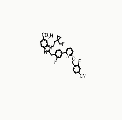 N#Cc1ccc(COc2cccc(-c3ccc(Cc4nc5ccc(C(=O)O)cc5n4CCC4(CF)CC4)c(F)c3)n2)c(F)c1